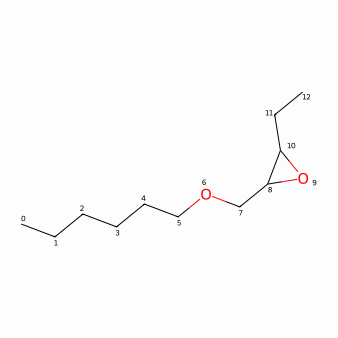 CCCCCCOCC1OC1CC